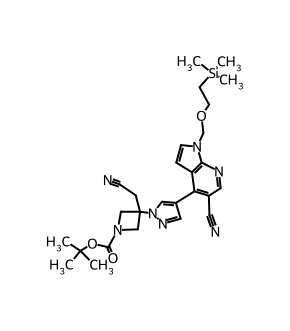 CC(C)(C)OC(=O)N1CC(CC#N)(n2cc(-c3c(C#N)cnc4c3ccn4COCC[Si](C)(C)C)cn2)C1